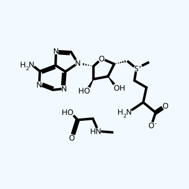 CNCC(=O)O.C[S+](CCC(N)C(=O)[O-])C[C@H]1O[C@@H](n2cnc3c(N)ncnc32)[C@H](O)[C@@H]1O